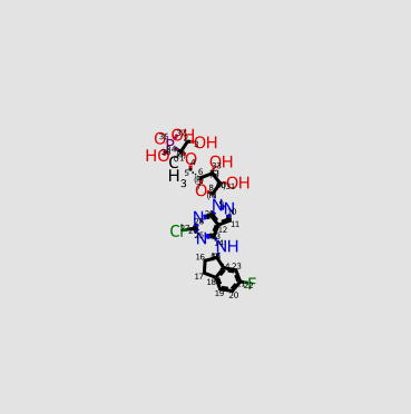 C[C@](CO)(OC[C@H]1O[C@@H](n2ncc3c(N[C@@H]4CCc5ccc(F)cc54)nc(Cl)nc32)[C@H](O)[C@@H]1O)P(=O)(O)O